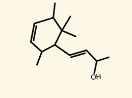 CC(O)/C=C/C1C(C)C=CC(C)C1(C)C